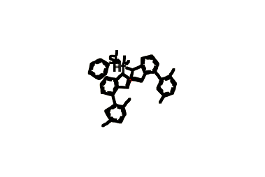 Cc1ccc(C)c(-c2cccc3c2C=C[CH]3[Hf]([CH3])([CH3])([CH]2C=Cc3c(-c4cc(C)ccc4C)cccc32)=[Si](C)c2ccccc2)c1